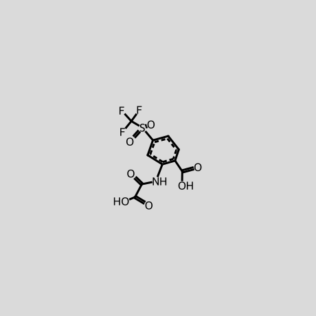 O=C(O)C(=O)Nc1cc(S(=O)(=O)C(F)(F)F)ccc1C(=O)O